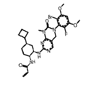 C=CC(=O)N[C@H]1CCC(C2CCC2)C[C@H]1Nc1ncc2c(n1)N(C)C(=O)N(c1c(F)c(OC)cc(OC)c1Br)C2